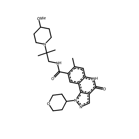 COC1CCN(C(C)(C)CNC(=O)c2cc3c(cc2C)[nH]c(=O)c2cnn(C4CCOCC4)c23)CC1